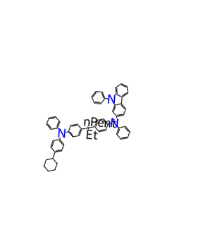 CCCCCC(CC)(c1ccc(N(c2ccccc2)c2ccc(C3CCCCC3)cc2)cc1)c1ccc(N(c2ccccc2)c2ccc3c4ccccc4n(-c4ccccc4)c3c2)cc1